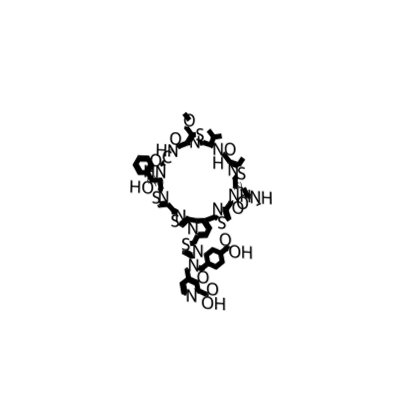 CNC(=O)C[C@@H]1NC(=O)c2csc(n2)-c2ccc(-c3nc(N(Cc4ccnc(C(=O)O)c4)C(=O)C4CCC(C(=O)O)CC4)cs3)nc2-c2csc(n2)-c2csc(n2)[C@H]([C@@H](O)c2ccccc2)NC(=O)CNC(=O)c2nc(sc2COC)C(C(C)C)NC(=O)c2nc1sc2C